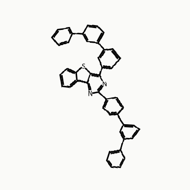 c1ccc(-c2cccc(-c3ccc(-c4nc(-c5cccc(-c6cccc(-c7ccccc7)c6)c5)c5sc6ccccc6c5n4)cc3)c2)cc1